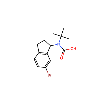 CC(C)(C)N(C(=O)O)C1CCc2ccc(Br)cc21